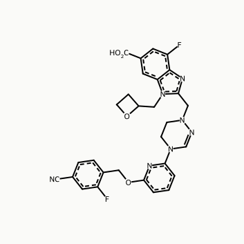 N#Cc1ccc(COc2cccc(N3C=NN(Cc4nc5c(F)cc(C(=O)O)cc5n4CC4CCO4)CC3)n2)c(F)c1